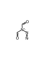 [N]=N[N+](C=O)C=O